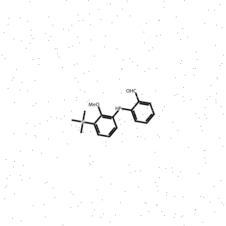 COc1c(Pc2ccccc2C=O)cccc1[Si](C)(C)C